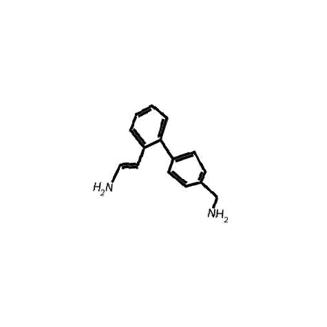 NC=Cc1ccccc1-c1ccc(CN)cc1